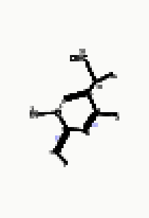 C=C(/C(C)=C\C(=C/C)OCC)C(C)C=O